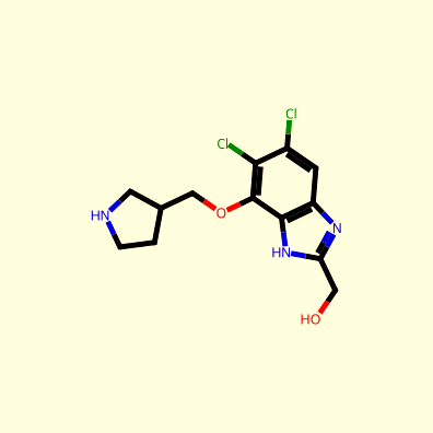 OCc1nc2cc(Cl)c(Cl)c(OCC3CCNC3)c2[nH]1